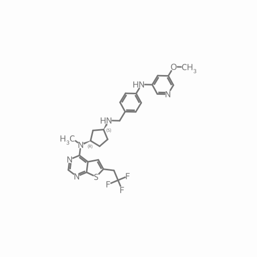 COc1cncc(Nc2ccc(CN[C@H]3CC[C@@H](N(C)c4ncnc5sc(CC(F)(F)F)cc45)C3)cc2)c1